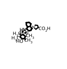 Cc1c(C)c(S(=O)(=O)Nc2ccc(N3CCC(C(=O)O)C3)c3ccccc23)c(C)c(C)c1O